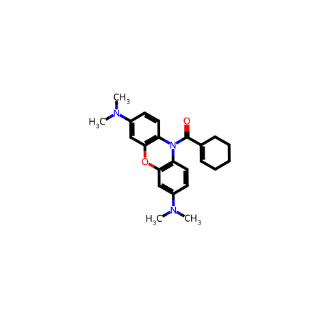 CN(C)c1ccc2c(c1)Oc1cc(N(C)C)ccc1N2C(=O)C1=CCCCC1